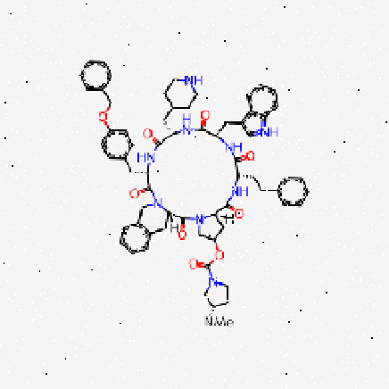 CN[C@H]1CCN(C(=O)O[C@@H]2C[C@H]3C(=O)N[C@@H](CCc4ccccc4)C(=O)N[C@H](Cc4c[nH]c5ccccc45)C(=O)N[C@@H](CC4CCNCC4)C(=O)N[C@@H](Cc4ccc(OCc5ccccc5)cc4)C(=O)N4Cc5ccccc5C[C@H]4C(=O)N3C2)C1